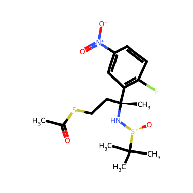 CC(=O)SCC[C@@](C)(N[S@@+]([O-])C(C)(C)C)c1cc([N+](=O)[O-])ccc1F